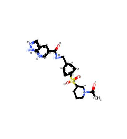 CC(=O)N1CCCC(S(=O)(=O)c2ccc(CNC(=O)c3cnc4[nH]ncc4c3)cc2)C1